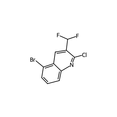 FC(F)c1cc2c(Br)cccc2nc1Cl